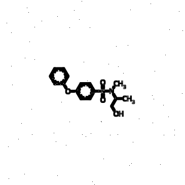 CC(CO)N(C)S(=O)(=O)c1ccc(Oc2ccccc2)cc1